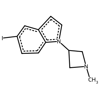 CN1CC(n2ccc3cc(I)ccc32)C1